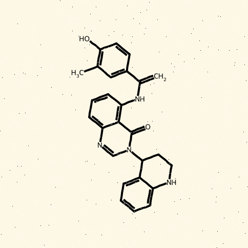 C=C(Nc1cccc2ncn(C3CCNc4ccccc43)c(=O)c12)c1ccc(O)c(C)c1